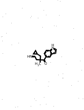 CC(CC=N)(CC1CC1)C(=O)c1ccc2[nH]ccc2c1